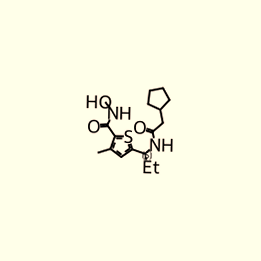 CC[C@H](NC(=O)CC1CCCC1)c1cc(C)c(C(=O)NO)s1